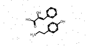 NCCc1ccc(O)cc1.O=C(O)C(O)=Cc1ccccc1